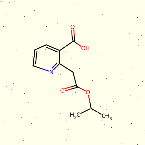 CC(C)OC(=O)Cc1ncccc1C(=O)O